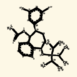 CC(=O)O[C@@H]1c2cccnc2[C@H](O[Si](C(C)C)(C(C)C)C(C)C)CC[C@@H]1c1cc(F)cc(F)c1